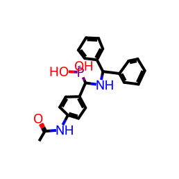 CC(=O)Nc1ccc(C(NC(c2ccccc2)c2ccccc2)P(O)O)cc1